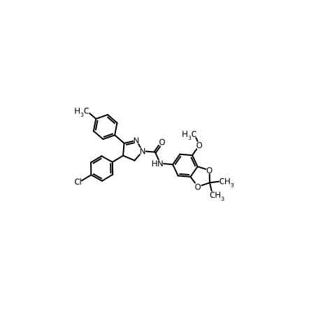 COc1cc(NC(=O)N2CC(c3ccc(Cl)cc3)C(c3ccc(C)cc3)=N2)cc2c1OC(C)(C)O2